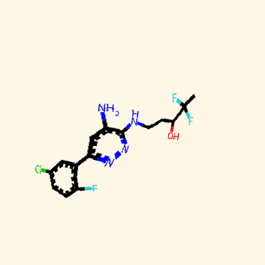 CC(F)(F)C(O)CCNc1nnc(-c2cc(Cl)ccc2F)cc1N